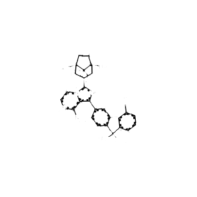 C[C@@](O)(c1ccc(-c2nc([C@@H]3C[C@H]4CC[C@@H](C3)[C@H]4C(=O)O)n3ccnc(N)c23)cc1)c1cccc(C(F)(F)F)c1